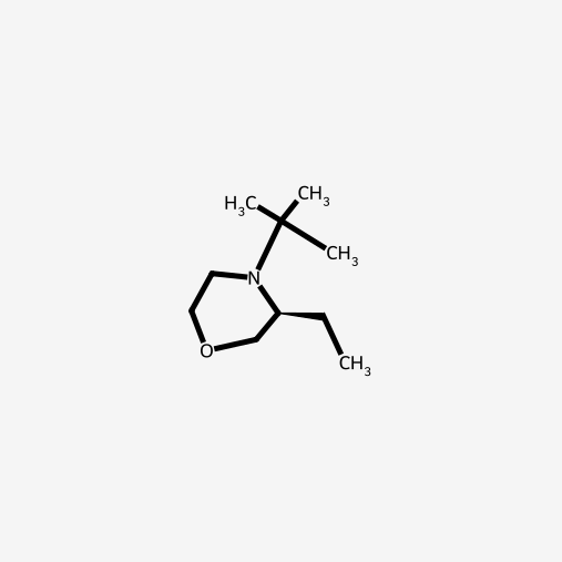 CC[C@H]1COCCN1C(C)(C)C